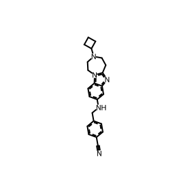 N#Cc1ccc(CNc2ccc3c(c2)nc2n3CCN(C3CCC3)CC2)cc1